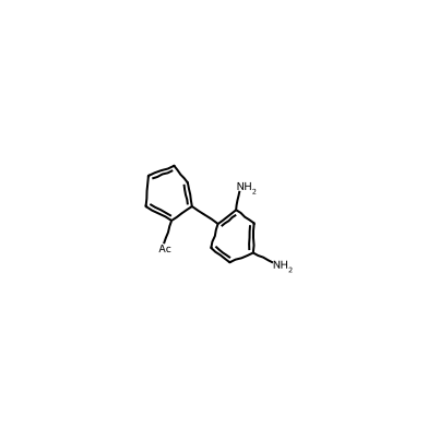 CC(=O)c1ccccc1-c1ccc(N)cc1N